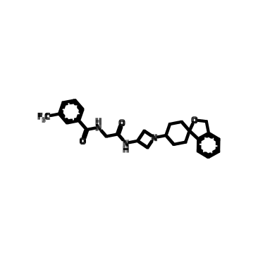 O=C(CNC(=O)c1cccc(C(F)(F)F)c1)NC1CN(C2CCC3(CC2)OCc2ccccc23)C1